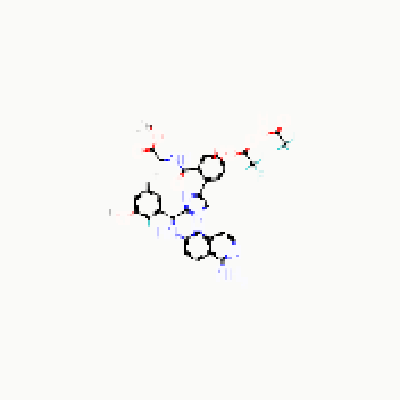 CCOc1cc(CC)cc(C(Nc2ccc3c(N)nccc3c2)c2nc(-c3ccccc3C(=O)NCC(=O)OC(C)(C)C)c[nH]2)c1F.O=C(O)C(F)(F)F.O=C(O)C(F)(F)F